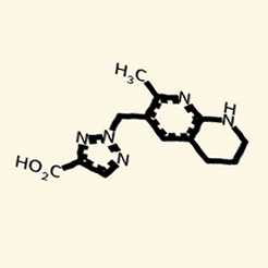 Cc1nc2c(cc1Cn1ncc(C(=O)O)n1)CCCN2